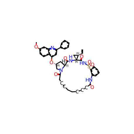 C=C[C@@H]1C[C@@]12NC(=O)[C@@H]1C[C@@H](Oc3cc(-c4ccccc4)nc4cc(OC)ccc34)CN1C(=O)CCCCCCCCC(=O)Nc1ccccc1S(=O)(=O)NC2=O